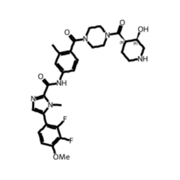 COc1ccc(-c2cnc(C(=O)Nc3ccc(C(=O)N4CCN(C(=O)[C@@H]5CCNC[C@@H]5O)CC4)c(C)c3)n2C)c(F)c1F